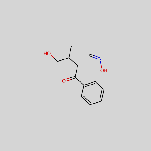 C=NO.CC(CO)CC(=O)c1ccccc1